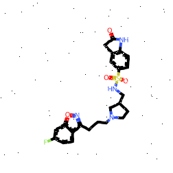 O=C1Cc2cc(S(=O)(=O)NCC3CCN(CCCc4noc5cc(F)ccc45)C3)ccc2N1